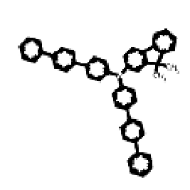 CC1(C)c2ccccc2-c2ccc(N(c3ccc(-c4ccc(-c5ccccc5)cc4)cc3)c3ccc(-c4ccc(-c5ccccc5)cc4)cc3)cc21